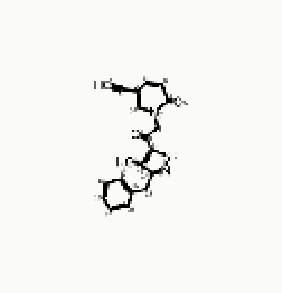 C#Cc1ccc(=O)n(CC(=O)c2snc(Cc3ccccc3)c2C)c1